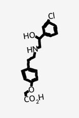 O=C(O)COc1ccc(CCNCC(O)c2cccc(Cl)c2)cc1